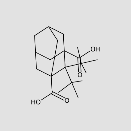 CC(C)(C)C1(C(C)(C)C)C2(C(=O)O)CC3CC(C2)CC1(C(=O)O)C3